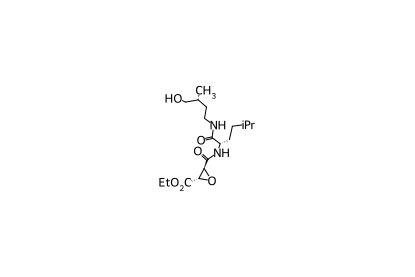 CCOC(=O)[C@H]1O[C@@H]1C(=O)N[C@@H](CCC(C)C)C(=O)NCC[C@@H](C)CO